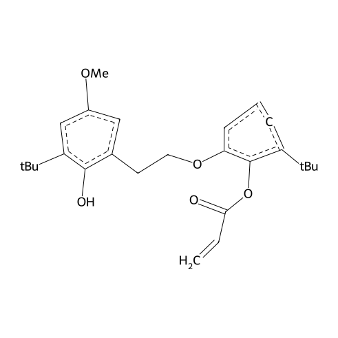 C=CC(=O)Oc1c(OCCc2cc(OC)cc(C(C)(C)C)c2O)cccc1C(C)(C)C